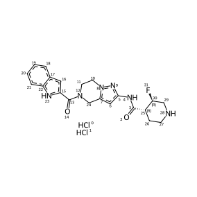 Cl.Cl.O=C(Nc1cc2n(n1)CCN(C(=O)c1cc3ccccc3[nH]1)C2)[C@H]1CCNC[C@@H]1F